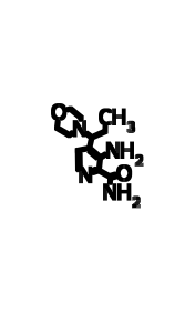 CCC(c1ccnc(C(N)=O)c1N)N1CCOCC1